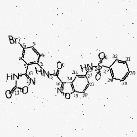 O=C(Nc1ccc(Br)cc1-c1noc(=O)[nH]1)c1noc2ccc(NS(=O)(=O)c3ccccc3)cc12